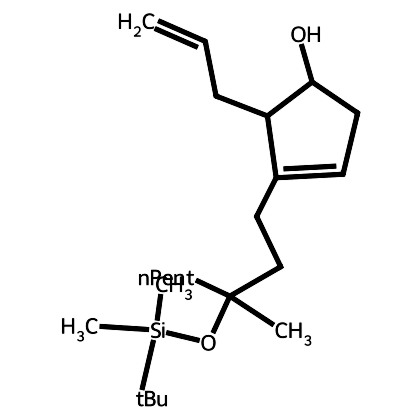 C=CCC1C(CCC(C)(CCCCC)O[Si](C)(C)C(C)(C)C)=CCC1O